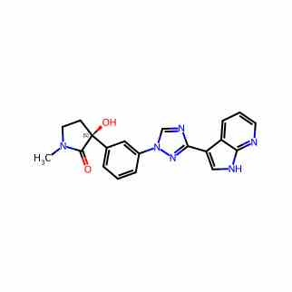 CN1CC[C@](O)(c2cccc(-n3cnc(-c4c[nH]c5ncccc45)n3)c2)C1=O